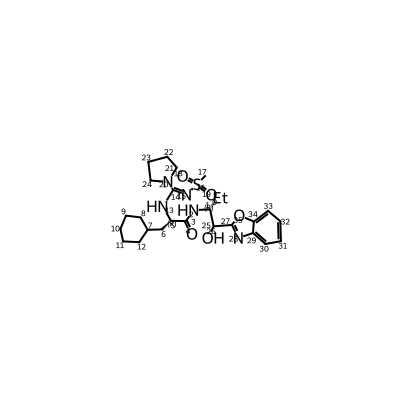 CC[C@@H](NC(=O)[C@@H](CC1CCCCC1)NC(=NS(C)(=O)=O)N1CCCC1)C(O)c1nc2ccccc2o1